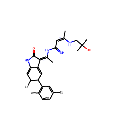 CCc1ccc(C)c(C2C=C3C(=CC2CC)NC(=O)/C3=C(/C)NC(=N)/C=C(/C)NCC(C)(C)O)c1